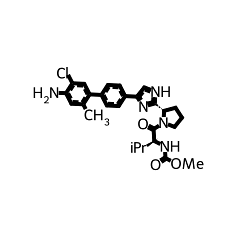 COC(=O)N[C@H](C(=O)N1CCC[C@H]1c1nc(-c2ccc(-c3cc(Cl)c(N)cc3C)cc2)c[nH]1)C(C)C